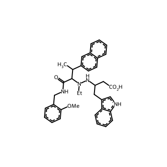 CCN(NC(CC(=O)O)Cc1c[nH]c2ccccc12)C(C(=O)NCc1ccccc1OC)C(C)c1ccc2ccccc2c1